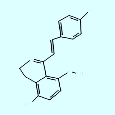 COc1ccc(O)c2c1C(/C=C/c1ccc(Cl)cc1)=NCC2